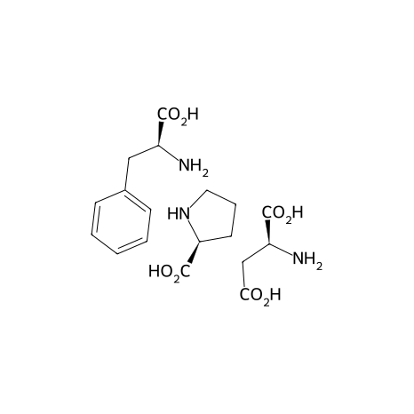 N[C@@H](CC(=O)O)C(=O)O.N[C@@H](Cc1ccccc1)C(=O)O.O=C(O)[C@@H]1CCCN1